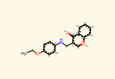 CCOc1ccc(NCc2coc3ccccc3c2=O)cc1